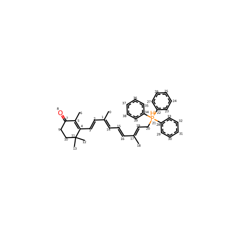 CC(C=CC1=C(C)C(=O)CCC1(C)C)=CC=CC(C)=CC[PH](c1ccccc1)(c1ccccc1)c1ccccc1